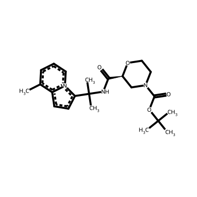 Cc1cccn2c(C(C)(C)NC(=O)[C@@H]3CN(C(=O)OC(C)(C)C)CCO3)ccc12